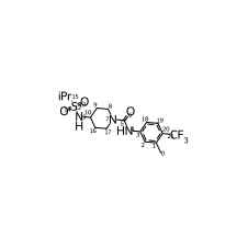 Cc1cc(NC(=O)N2CCC(NS(=O)(=O)C(C)C)CC2)ccc1C(F)(F)F